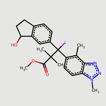 COC(=O)C(C)(C)C(I)(c1ccc2c(c1)C(O)CC2)c1ccc2c(nnn2C)c1C